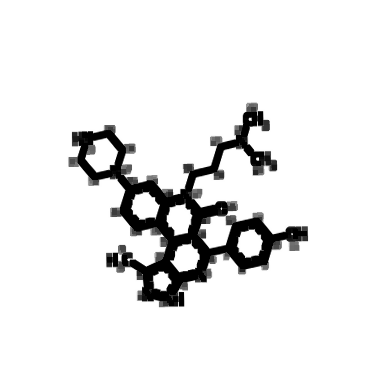 Cc1n[nH]c2nc(-c3ccc(O)cc3)c3c(=O)n(CCCN(C)C)c4cc(N5CCNCC5)ccc4c3c12